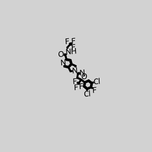 O=C(NCC(F)(F)F)c1cc2c(cn1)CN(C1=NOC(c3cc(Cl)c(F)c(Cl)c3)(C(F)(F)F)C1)C2